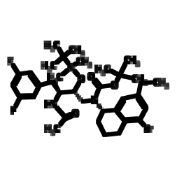 CCc1cc(Br)c2c(c1)[C@@H](N(C[C@@H](O[Si](C)(C)C(C)(C)C)[C@H](Cc1cc(F)cc(F)c1)NC(C)=O)C(=O)OC(C)(C)C)CCC2